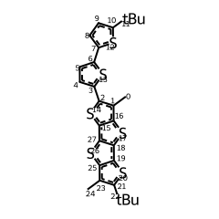 Cc1c(-c2ccc(-c3ccc(C(C)(C)C)s3)s2)sc2c1sc1c3sc(C(C)(C)C)c(C)c3sc21